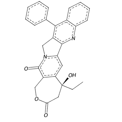 CC[C@]1(O)CC(=O)OCc2c1cc1n(c2=O)Cc2c-1nc1ccccc1c2-c1ccccc1